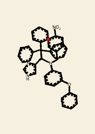 O=[N+]([O-])c1ccc(CN(c2cccc(Oc3ccccc3)c2)C(c2c[nH]cn2)C(c2ccccc2)(c2ccccc2)c2ccccc2)cc1